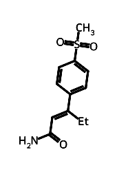 CC/C(=C\C(N)=O)c1ccc(S(C)(=O)=O)cc1